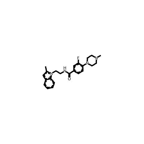 Cc1cc2ccccc2n1CCNC(=O)c1ccc(N2CCN(C)CC2)c(F)c1